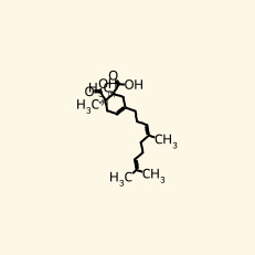 CC(C)=CCCC(C)=CCCC1=CC[C@@](C)(C(=O)O)[C@@](C)(C(=O)O)C1